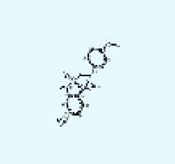 COc1ccc(CCS(=O)(=O)Nc2c[n+](N)ccc2C2CC2)cc1